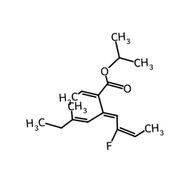 C\C=C(F)/C=C(\C=C(/C)CC)C(=C\C)/C(=O)OC(C)C